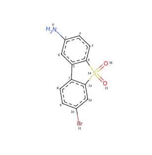 Nc1ccc2c(c1)-c1ccc(Br)cc1S2(=O)=O